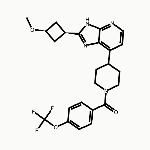 CO[C@H]1C[C@@H](c2nc3c(C4CCN(C(=O)c5ccc(OC(F)(F)F)cc5)CC4)ccnc3[nH]2)C1